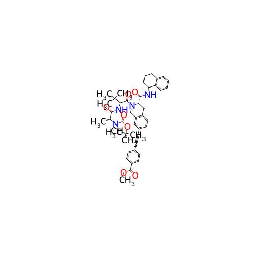 COC(=O)c1ccc(C#Cc2ccc3c(c2)CN(C(=O)[C@@H](NC(=O)[C@H](C)N(C)C(=O)OC(C)(C)C)C(C)(C)C)[C@H](C(=O)NC2CCCc4ccccc42)C3)cc1